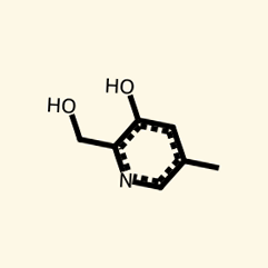 Cc1cnc(CO)c(O)c1